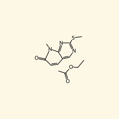 CCOC(C)=O.CSc1ncc2ccc(=O)n(C)c2n1